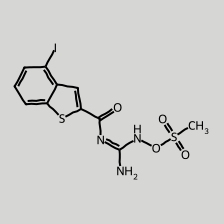 CS(=O)(=O)ONC(N)=NC(=O)c1cc2c(I)cccc2s1